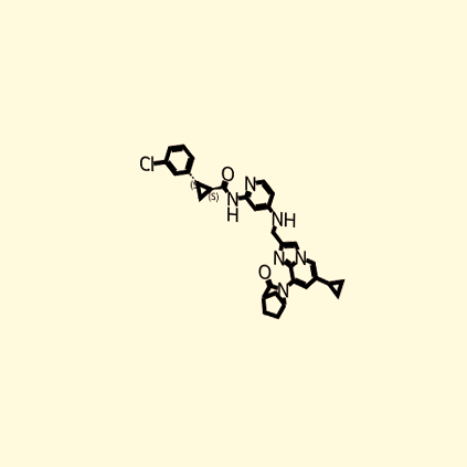 O=C(Nc1cc(NCc2cn3cc(C4CC4)cc(N4C(=O)C5CCC4C5)c3n2)ccn1)[C@H]1C[C@@H]1c1cccc(Cl)c1